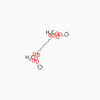 CC(OC(=O)CCCCCCCCCCC(=O)OC(C)OC(=O)OCc1ccccc1)OC(=O)OCc1ccccc1